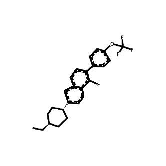 CC[C@H]1CC[C@H](c2ccc3c(F)c(-c4ccc(OC(F)(F)F)cc4)ccc3c2)CC1